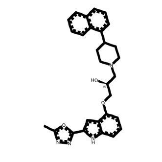 Cc1nnc(-c2cc3c(OC[C@@H](O)CN4CCC(c5cccc6ccccc56)CC4)cccc3[nH]2)o1